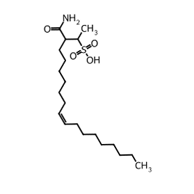 CCCCCCCC/C=C\CCCCCCC(C(N)=O)C(C)S(=O)(=O)O